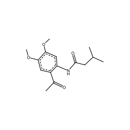 COc1cc(NC(=O)CC(C)C)c(C(C)=O)cc1OC